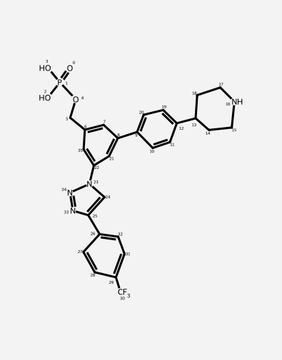 O=P(O)(O)OCc1cc(-c2ccc(C3CCNCC3)cc2)cc(-n2cc(-c3ccc(C(F)(F)F)cc3)nn2)c1